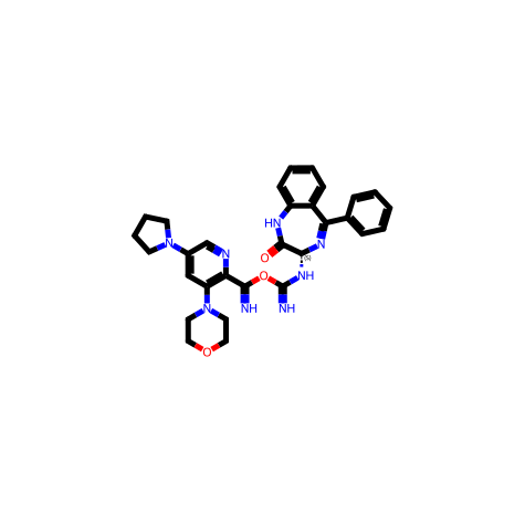 N=C(N[C@H]1N=C(c2ccccc2)c2ccccc2NC1=O)OC(=N)c1ncc(N2CCCC2)cc1N1CCOCC1